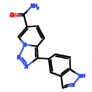 NC(=O)c1ccc2c(-c3ccc4[nH]ncc4c3)nnn2c1